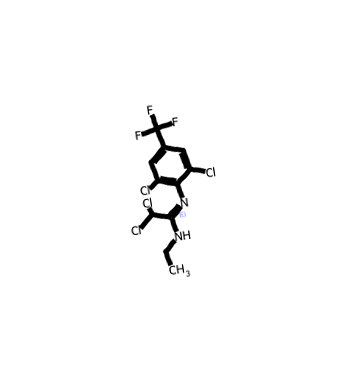 CCN/C(=N/c1c(Cl)cc(C(F)(F)F)cc1Cl)C(Cl)Cl